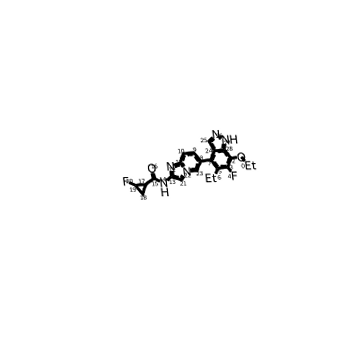 CCOc1c(F)c(CC)c(-c2ccc3nc(NC(=O)C4CC4F)cn3c2)c2cn[nH]c12